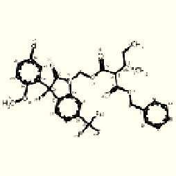 CC[C@H](C)[C@@H](C(=O)OCc1ccccc1)C(=O)OCN1C(=O)C(F)(c2cc(Cl)ccc2OC)c2ccc(C(F)(F)F)cc21